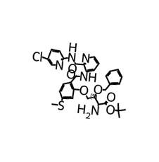 CSc1ccc(C(=O)Nc2cccnc2C(=O)Nc2ccc(Cl)cn2)c(OC[C@@H](OCc2ccccc2)C(N)C(=O)OC(C)(C)C)c1